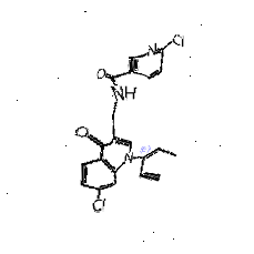 C=C/C(=C\C)n1cc(CNC(=O)c2ccc(Cl)nc2)c(=O)c2ccc(Cl)cc21